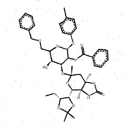 CC[C@H]1OC(C)(C)O[C@H]1C1O[C@](C)(O[C@@H]2C(OC(=O)c3ccccc3)[C@H](Sc3ccc(C)cc3)OC(COCc3ccccc3)[C@@H]2O)C[C@H]2OC(=O)N[C@@H]12